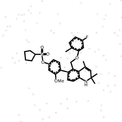 COc1cc(OS(=O)(=O)C2CCCC2)ccc1-c1ccc2c(c1COc1cc(F)ccc1C)C(C)=CC(C)(C)N2